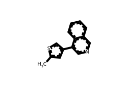 Cc1cc(-c2cncc3ccccc23)cs1